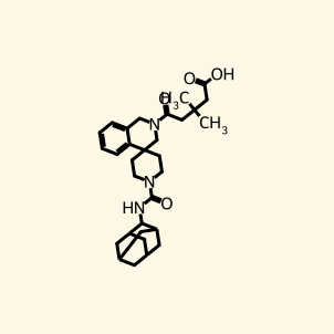 CC(C)(CC(=O)O)CC(=O)N1Cc2ccccc2C2(CCN(C(=O)NC3C4CC5CC(C4)CC3C5)CC2)C1